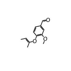 CC=C(C)Oc1ccc(C=O)cc1OC